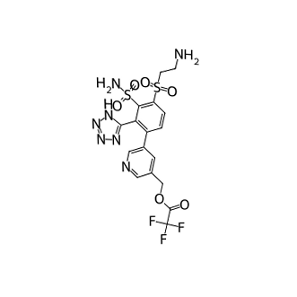 NCCS(=O)(=O)c1ccc(-c2cncc(COC(=O)C(F)(F)F)c2)c(-c2nnn[nH]2)c1S(N)(=O)=O